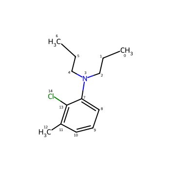 CCCN(CCC)c1cccc(C)c1Cl